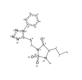 CCCC1C(=O)N(CSc2nnnn2-c2ccccc2)S(=O)(=O)N1C